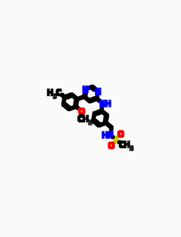 COc1ccc(C)cc1-c1cc(Nc2cccc(CNS(C)(=O)=O)c2)ncn1